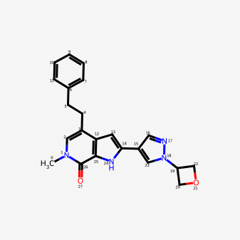 Cn1cc(CCc2ccccc2)c2cc(-c3cnn(C4COC4)c3)[nH]c2c1=O